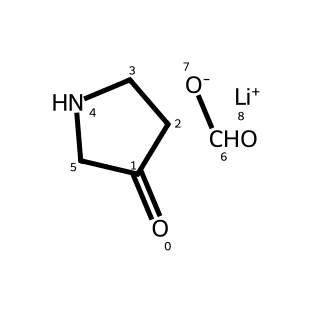 O=C1CCNC1.O=C[O-].[Li+]